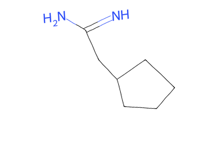 N=C(N)CC1CCCC1